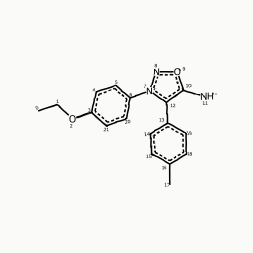 CCOc1ccc(-[n+]2noc([NH-])c2-c2ccc(C)cc2)cc1